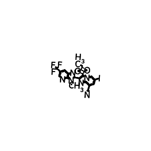 CCS(=O)(=O)c1c(-c2nc3cc(C(F)(F)F)cnc3n2C)nc2c(C#N)cc(I)cn12